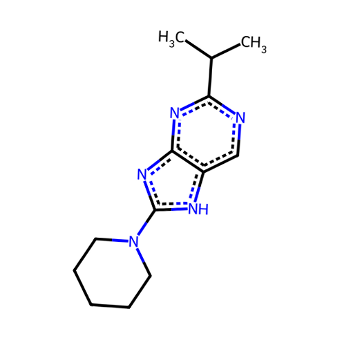 CC(C)c1ncc2[nH]c(N3CCCCC3)nc2n1